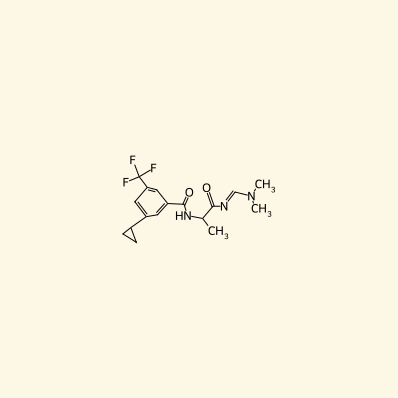 CC(NC(=O)c1cc(C2CC2)cc(C(F)(F)F)c1)C(=O)N=CN(C)C